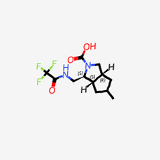 CC1C[C@H]2CN(C(=O)O)[C@H](CNC(=O)C(F)(F)F)[C@H]2C1